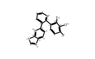 Fc1ccc(-c2ncccc2-c2ccc3ncsc3n2)c(F)c1Cl